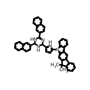 CC1(C)c2ccccc2-c2cc3c4ccccc4n(-c4ccc(C5N=C(c6ccc7ccccc7c6)NC(c6ccc7ccccc7c6)N5)[nH]4)c3cc21